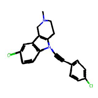 CN1CCc2c(c3cc(Cl)ccc3n2C#Cc2ccc(Cl)cc2)C1